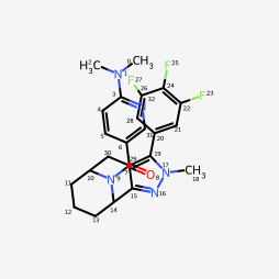 CN(C)c1ccc(C(=O)N2C3CCCC2c2nn(C)c(-c4cc(F)c(F)c(F)c4)c2C3)cn1